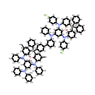 Cc1cc2c3c(c1)[Si](c1ccccc1)(c1ccc(-c4cccc(N(c5ccccc5)c5cc6c7c(c5)N(c5ccc(F)cc5)c5cccc8c5B7c5c(cccc5[Si]8(c5ccccc5)c5ccccc5)N6c5ccc(F)cc5)c4)cc1)c1cc(C)cc4c1B3c1c(cc(N(c3ccccc3)c3ccccc3)cc1N4c1ccccc1)N2c1ccccc1